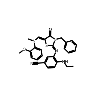 CCNc1ccc(C#N)cc1/N=C1\S/C(=C\N(C)c2ccccc2OC)C(=O)N1Cc1ccccc1